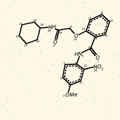 COc1ccc(NC(=O)c2ccccc2OCC(=O)NC2CCCCC2)c([N+](=O)[O-])c1